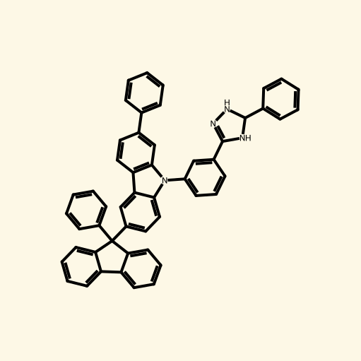 c1ccc(-c2ccc3c4cc(C5(c6ccccc6)c6ccccc6-c6ccccc65)ccc4n(-c4cccc(C5=NNC(c6ccccc6)N5)c4)c3c2)cc1